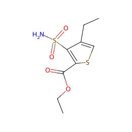 CCOC(=O)c1scc(CC)c1S(N)(=O)=O